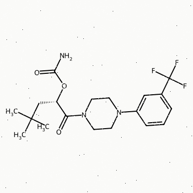 CC(C)(C)C[C@H](OC(N)=O)C(=O)N1CCN(c2cccc(C(F)(F)F)c2)CC1